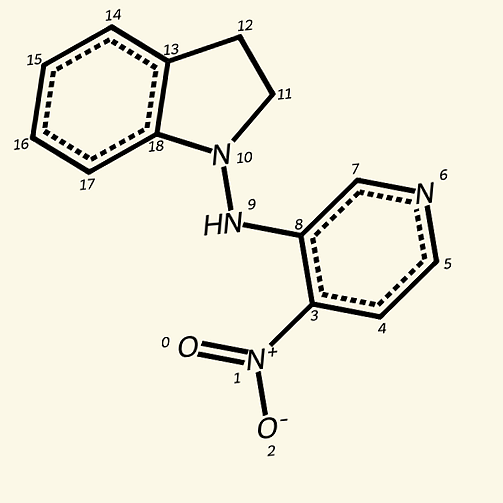 O=[N+]([O-])c1ccncc1NN1CCc2ccccc21